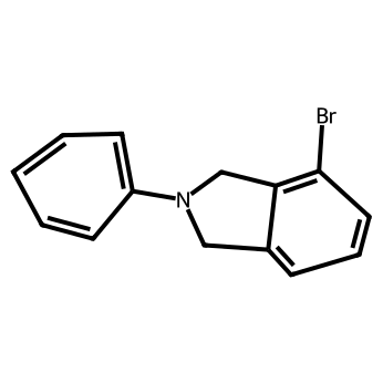 Brc1cccc2c1CN(c1ccccc1)C2